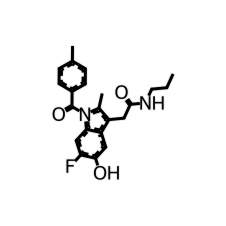 CCCNC(=O)Cc1c(C)n(C(=O)c2ccc(C)cc2)c2cc(F)c(O)cc12